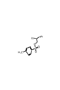 CCCC(CC)COS(=O)(=O)c1ccc(C)cc1